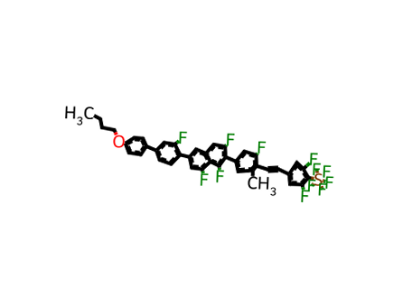 CCCCOc1ccc(-c2ccc(-c3cc(F)c4c(F)c(-c5cc(C)c(C#Cc6cc(F)c(S(F)(F)(F)(F)F)c(F)c6)c(F)c5)c(F)cc4c3)c(F)c2)cc1